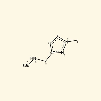 Cn1ccc(CNC(C)(C)C)n1